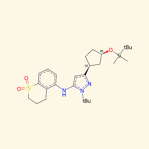 CC(C)(C)n1nc([C@H]2CC[C@@H](O[Si](C)(C)C(C)(C)C)C2)cc1Nc1cccc2c1CCCS2(=O)=O